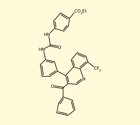 CCOC(=O)c1ccc(NC(=O)Nc2cccc(-c3c(C(=O)c4ccccc4)cnc4c(C(F)(F)F)cccc34)c2)cc1